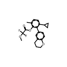 COC(F)(F)C(=O)Oc1c(C)ccc(C2CC2)c1-c1ccc2c(c1)CCCO2